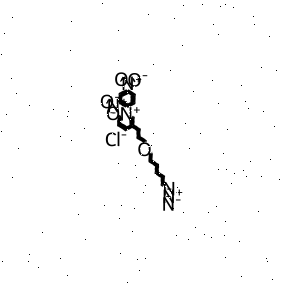 [Cl-].[N-]=[N+]=NCCCCCCOCCCc1ccc[n+](-c2ccc([N+](=O)[O-])cc2[N+](=O)[O-])c1